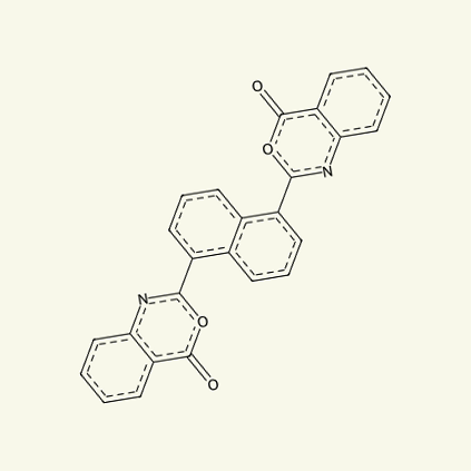 O=c1oc(-c2cccc3c(-c4nc5ccccc5c(=O)o4)cccc23)nc2ccccc12